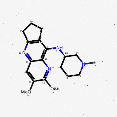 CCN1CCC[C@@H](Nc2c3c(nc4cc(OC)c(OC)nc24)CCC3)C1